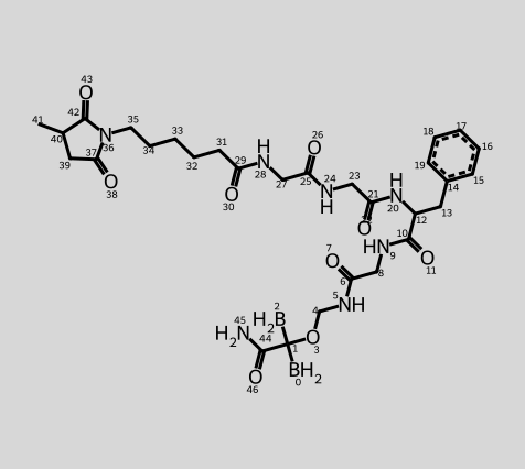 BC(B)(OCNC(=O)CNC(=O)C(Cc1ccccc1)NC(=O)CNC(=O)CNC(=O)CCCCCN1C(=O)CC(C)C1=O)C(N)=O